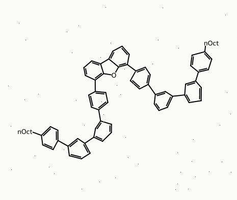 CCCCCCCCc1ccc(-c2cccc(-c3cccc(-c4ccc(-c5cccc6c5oc5c(-c7ccc(-c8cccc(-c9cccc(-c%10ccc(CCCCCCCC)cc%10)c9)c8)cc7)cccc56)cc4)c3)c2)cc1